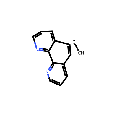 CC#N.c1cnc2c(c1)ccc1cccnc12